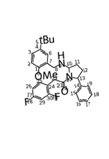 COc1ccc(C(C)(C)C)cc1CNC1CCC(c2ccccc2)N1C(=O)Cc1ccc(F)cc1F